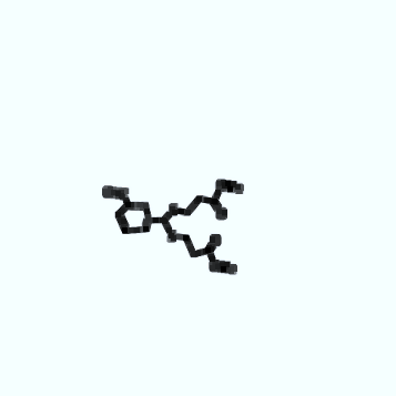 COC(=O)CCSC(SCCC(=O)OC)c1cccc(C=O)c1